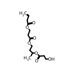 C=CCC(=O)OCCC(=O)OCCC(C)OC(=O)CCO